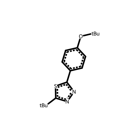 CC(C)(C)Oc1ccc(-c2nnc(C(C)(C)C)s2)cc1